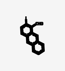 O=Cc1c(I)ccc2cc3ccccc3cc12